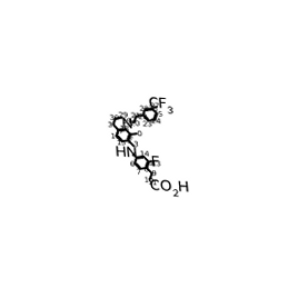 Cc1c(CNc2ccc(CCC(=O)O)c(F)c2)ccc2c1N(CCc1cccc(C(F)(F)F)c1)CCC2